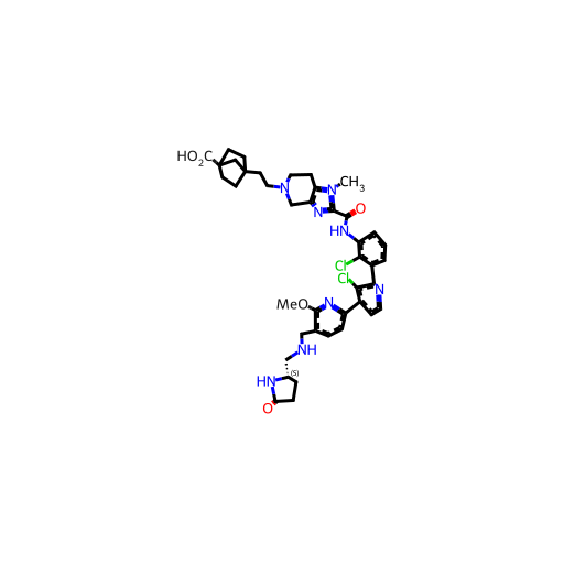 COc1nc(-c2ccnc(-c3cccc(NC(=O)c4nc5c(n4C)CCN(CCC46CCC(C(=O)O)(CC4)C6)C5)c3Cl)c2Cl)ccc1CNC[C@@H]1CCC(=O)N1